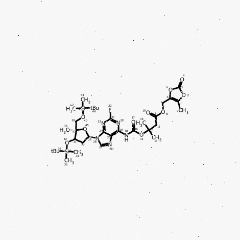 Cc1oc(=O)oc1COC(=O)CC(C)(C)OC(=O)Nc1nc(F)nc2c1ncn2[C@H]1CC(O[Si](C)(C)C(C)(C)C)[C@@](C)(CO[Si](C)(C)C(C)(C)C)O1